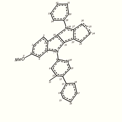 COc1ccc2c(c1)n(-c1cc(C)c(-c3ccccc3)cn1)c1c3ccccc3n(-c3ccccc3)c21